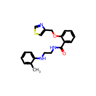 Cc1ccccc1NCCNC(=O)c1ccccc1OCc1cscn1